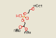 CCCCCCCCOCCOP(=O)(O)OCC(OCCCC)OCCCC